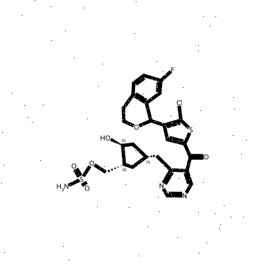 NS(=O)(=O)OC[C@H]1C[C@@H](Cc2ncncc2C(=O)c2cc(C3OCCc4ccc(F)cc43)c(Cl)s2)C[C@@H]1O